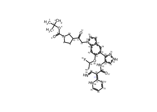 CC(C)(C)OC(=O)N1CCC(C(=O)Cn2ncc3cc(-c4n[nH]cc4NC(=O)/C(C=N)=C4\N=CC=CN4)c(OC(F)F)cc32)C1